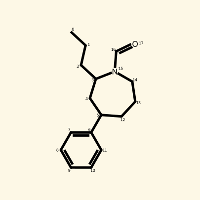 CCCC1CC(c2ccccc2)CCCN1C=O